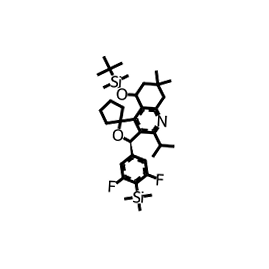 CC(C)c1nc2c(c3c1[C@@H](c1cc(F)c([Si](C)(C)C)c(F)c1)OC31CCCC1)C(O[Si](C)(C)C(C)(C)C)CC(C)(C)C2